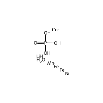 O.O=P(O)(O)O.[Co].[Fe].[Fe].[LiH].[Mn].[Ni]